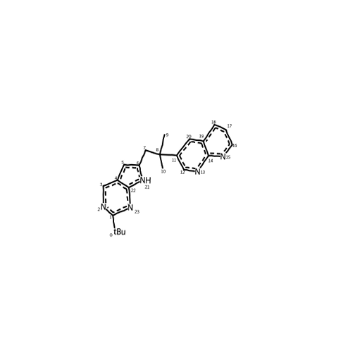 CC(C)(C)c1ncc2cc(CC(C)(C)c3cnc4ncccc4c3)[nH]c2n1